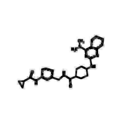 CN(C)c1nc(NC2CCC(C(=O)NCc3cccc(NC(=O)C4CC4)c3)CC2)nc2ccccc12